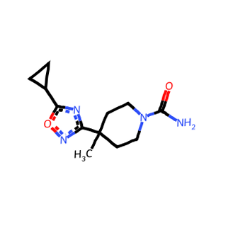 CC1(c2noc(C3CC3)n2)CCN(C(N)=O)CC1